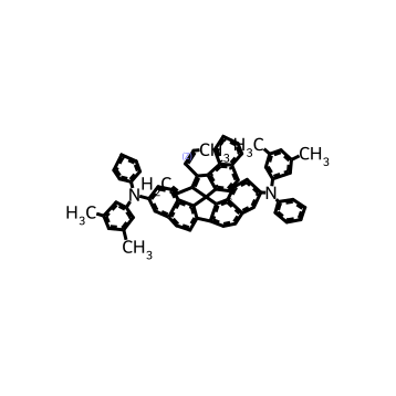 C=CC1=C(/C=C\C)c2c(ccc3ccccc23)C12c1c(ccc3cc(N(c4ccccc4)c4cc(C)cc(C)c4)ccc13)-c1ccc3cc(N(c4ccccc4)c4cc(C)cc(C)c4)ccc3c12